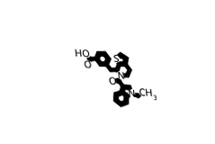 CCn1cc(C(=O)N2CCc3ccsc3C2Cc2cccc(C(=O)O)c2)c2ccccc21